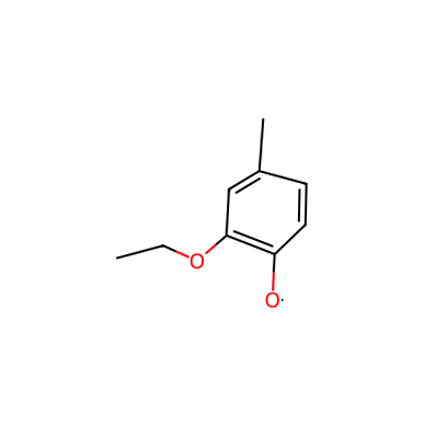 CCOc1cc(C)ccc1[O]